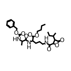 CCCCOC(=O)C(CCCNC(=O)C1OC(=O)C1C(C)CC)NC(=O)C(C)NC(=O)OCc1ccccc1